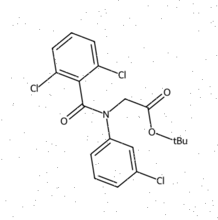 CC(C)(C)OC(=O)CN(C(=O)c1c(Cl)cccc1Cl)c1cccc(Cl)c1